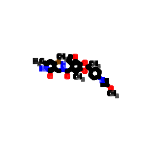 COC1CN(C2CCC([C@]3(C)Oc4c(C)c(C(=O)NCc5c(SC)cc(C)[nH]c5=O)c5ccoc5c4O3)CC2)C1